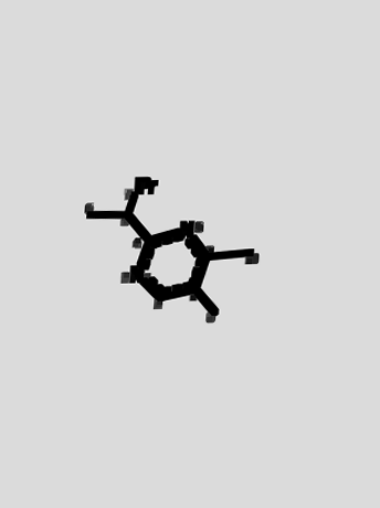 Cc1cnc(C(C)C(C)C)nc1C